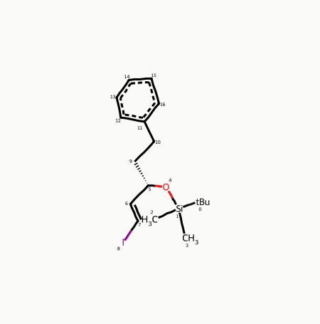 CC(C)(C)[Si](C)(C)O[C@H](C=CI)CCc1ccccc1